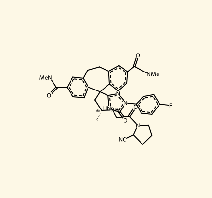 CNC(=O)c1ccc2c(c1)CCc1cc(C(=O)NC)ccc1C2(C[C@@H](C)NCC(=O)N1CCCC1C#N)c1nn(-c2ccc(F)cc2)c(=O)[nH]1